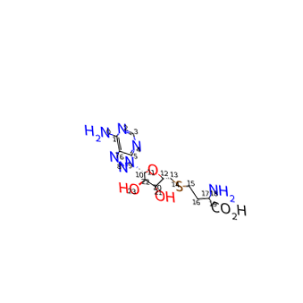 Nc1ncnc2c1nnn2[C@@H]1O[C@H](CSCCC(N)C(=O)O)[C@@H](O)[C@H]1O